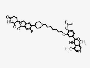 Cc1cncc(C)c1NC(=O)c1ccc(OC(F)F)c(OCCCCCCCN2CCC(c3cc4c(cc3F)C(=O)N(C3CCC(=O)NC3=O)C4)CC2)c1